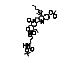 CCCC[Si](C)(C)c1c2c(nc3ccc(OC(C)=O)cc13)-c1cc3c(c(=O)n1C2)COC(=O)C3(CC)OC(=O)CCCNC(=O)OC(C)(C)C